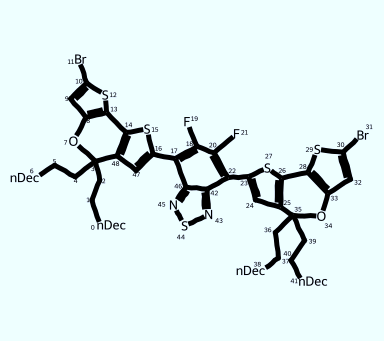 CCCCCCCCCCCCC1(CCCCCCCCCCCC)Oc2cc(Br)sc2-c2sc(-c3c(F)c(F)c(-c4cc5c(s4)-c4sc(Br)cc4OC5(CCCCCCCCCCCC)CCCCCCCCCCCC)c4nsnc34)cc21